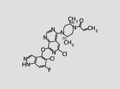 C=CC(=O)N1C[C@H](C)N(c2ncnc3c(Oc4c(Cl)c(F)cc5[nH]ncc45)nc(Cl)cc23)C[C@H]1C